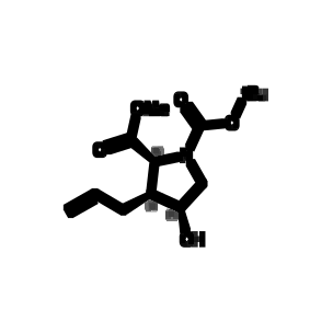 C=CC[C@@H]1[C@H](O)CN(C(=O)OC(C)(C)C)[C@@H]1C(=O)OC